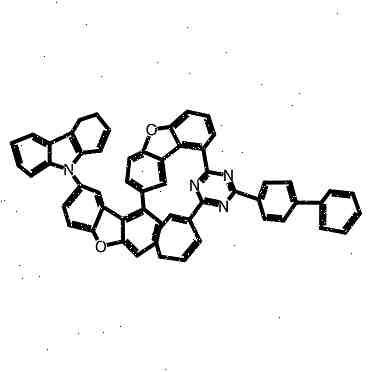 C1=CC(c2nc(-c3ccc(-c4ccccc4)cc3)nc(-c3cccc4oc5ccc(-c6cccc7oc8ccc(-n9c%10c(c%11ccccc%119)CCC=C%10)cc8c67)cc5c34)n2)=CCC1